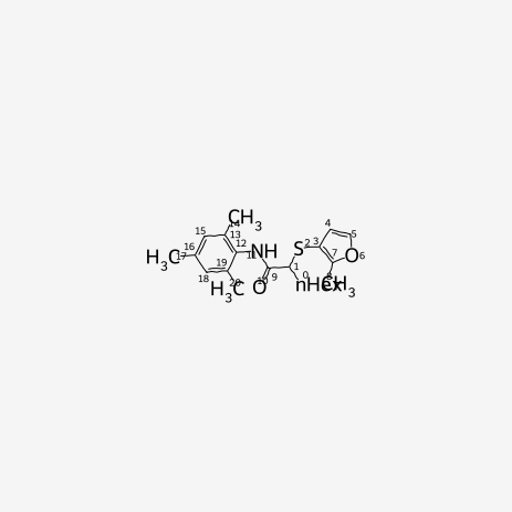 CCCCCCC(Sc1ccoc1C)C(=O)Nc1c(C)cc(C)cc1C